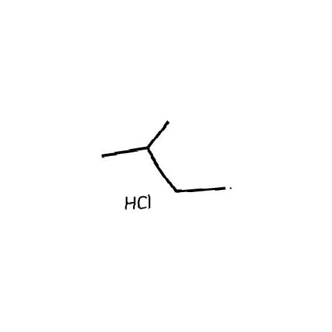 Cl.[CH2]CC(C)C